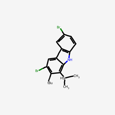 C[SiH](C)c1c(C(C)(C)C)c(Br)cc2c1[nH]c1ccc(Br)cc12